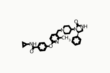 Cc1nc(Oc2ccc(C(=O)NC3CC3)cc2)ccc1CN1CCC(N2C(=O)NC[C@H]2c2ccccc2)CC1